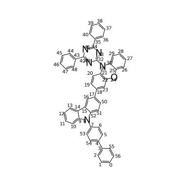 c1ccc(-c2ccc(-n3c4ccccc4c4cc(-c5ccc6c(c5)Oc5ccccc5N6c5nc(-c6ccccc6)nc(-c6ccccc6)n5)ccc43)cc2)cc1